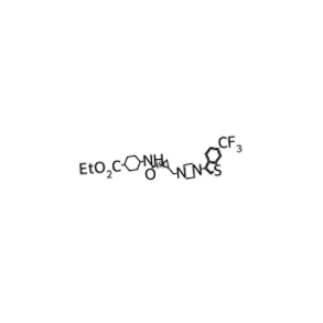 CCOC(=O)C1CCC(NC(=O)[C@H]2CC2CN2CCN(c3csc4cc(C(F)(F)F)ccc34)CC2)CC1